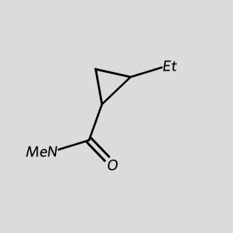 CCC1CC1C(=O)NC